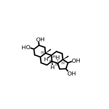 C[C@]12CC(O)C(O)CC1CC[C@@H]1[C@H]2CC[C@]2(C)C(O)C(O)C[C@@H]12